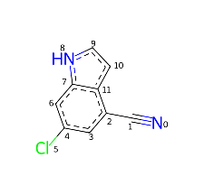 N#Cc1cc(Cl)cc2[nH]ccc12